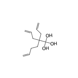 C=CCCC(CC=C)(CC=C)C(O)(O)O